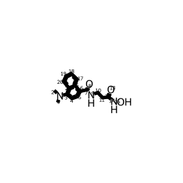 CN(C)c1ccc(C(=O)NCCC(=O)NO)c2ccccc12